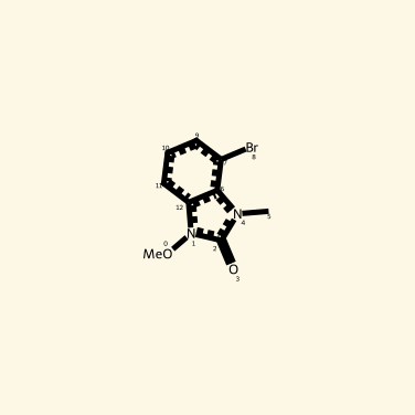 COn1c(=O)n(C)c2c(Br)cccc21